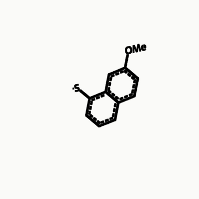 COc1ccc2cccc([S])c2c1